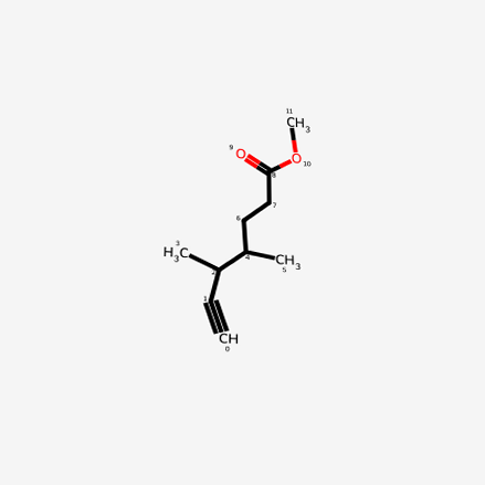 C#CC(C)C(C)CCC(=O)OC